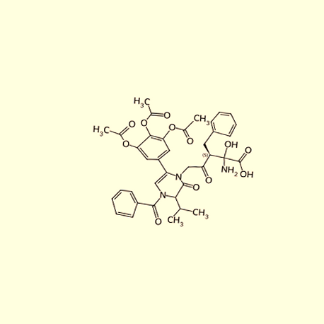 CC(=O)Oc1cc(C2=CN(C(=O)c3ccccc3)C(C(C)C)C(=O)N2CC(=O)[C@@H](Cc2ccccc2)C(N)(O)C(=O)O)cc(OC(C)=O)c1OC(C)=O